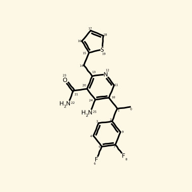 CC(c1ccc(F)c(F)c1)c1cnc(Cc2cccs2)c(C(N)=O)c1N